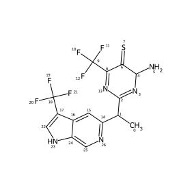 CC(C1=NC(N)C(=S)C(C(F)(F)F)=N1)c1cc2c(C(F)(F)F)c[nH]c2cn1